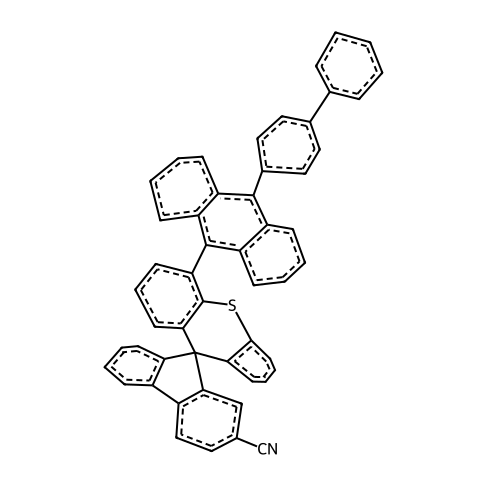 N#Cc1ccc2c(c1)C1(c3ccccc3Sc3c(-c4c5ccccc5c(-c5ccc(-c6ccccc6)cc5)c5ccccc45)cccc31)c1ccccc1-2